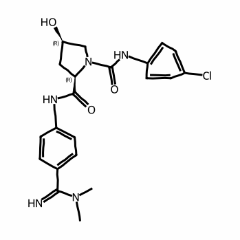 CN(C)C(=N)c1ccc(NC(=O)[C@H]2C[C@@H](O)CN2C(=O)Nc2ccc(Cl)cc2)cc1